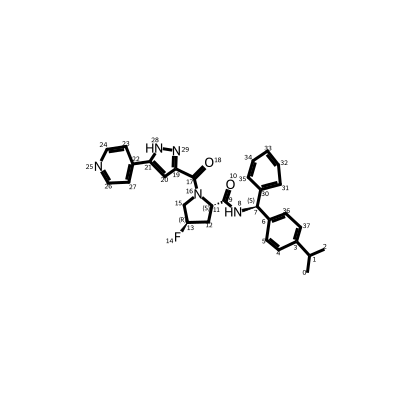 CC(C)c1ccc([C@@H](NC(=O)[C@@H]2C[C@@H](F)CN2C(=O)c2cc(-c3ccncc3)[nH]n2)c2ccccc2)cc1